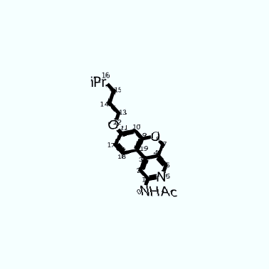 CC(=O)Nc1cc2c(cn1)COc1cc(OCCCC(C)C)ccc1-2